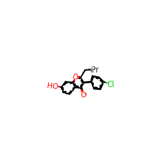 CC(C)Cc1oc2cc(O)ccc2c(=O)c1-c1ccc(Cl)cc1